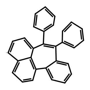 [c]1ccc2c3c(cccc13)-c1ccccc1C(c1ccccc1)=C2c1ccccc1